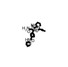 CC#CC(=O)N1CCCCC1c1nc(-c2ccc(C(=O)Nc3ccccn3)cc2)c(C(N)=O)n1N